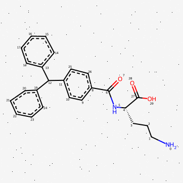 NCCC[C@H](NC(=O)c1ccc(C(c2ccccc2)c2ccccc2)cc1)C(=O)O